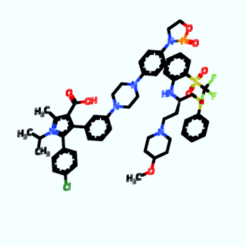 COC1CCN(CC[C@H](CSc2ccccc2)Nc2ccc([P@]3(=O)OCCN3c3ccc(N4CCN(c5cccc(-c6c(C(=O)O)c(C)n(C(C)C)c6-c6ccc(Cl)cc6)c5)CC4)cc3)cc2S(=O)(=O)C(F)(F)F)CC1